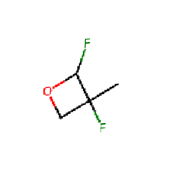 CC1(F)COC1F